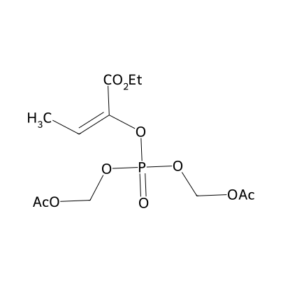 CC=C(OP(=O)(OCOC(C)=O)OCOC(C)=O)C(=O)OCC